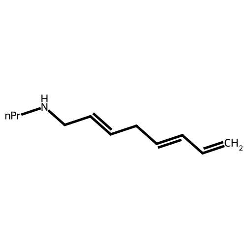 C=CC=CCC=CCNCCC